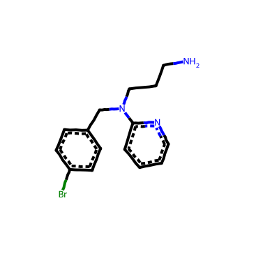 NCCCN(Cc1ccc(Br)cc1)c1ccccn1